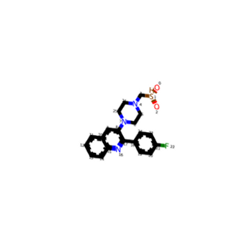 O=[SH](=O)CN1CCN(c2cc3ccccc3nc2-c2ccc(F)cc2)CC1